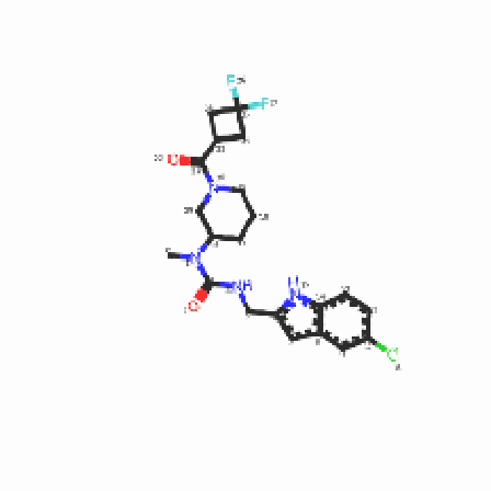 CN(C(=O)NCc1cc2cc(Cl)ccc2[nH]1)C1CCCN(C(=O)C2CC(F)(F)C2)C1